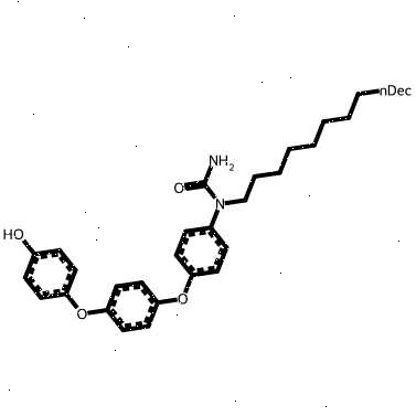 CCCCCCCCCCCCCCCCCCN(C(N)=O)c1ccc(Oc2ccc(Oc3ccc(O)cc3)cc2)cc1